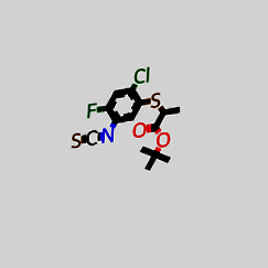 CC(Sc1cc(N=C=S)c(F)cc1Cl)C(=O)OC(C)(C)C